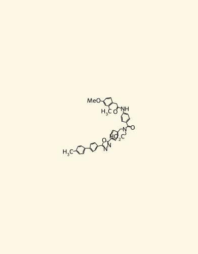 COc1ccc(CC(=O)Nc2ccc(C(=O)N(CC(=O)O)Cc3ccc(-c4nnc(-c5ccc(-c6ccc(C)cc6)cc5)o4)cc3)cc2)c(C)c1